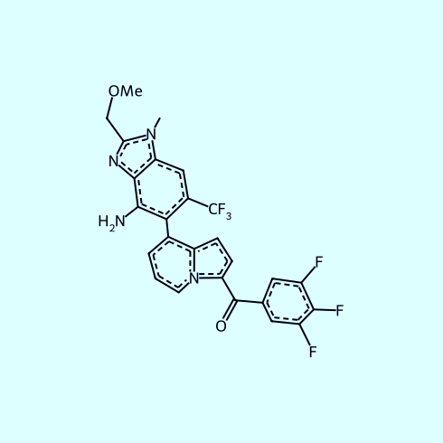 COCc1nc2c(N)c(-c3cccn4c(C(=O)c5cc(F)c(F)c(F)c5)ccc34)c(C(F)(F)F)cc2n1C